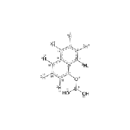 [2H]c1c([2H])c([2H])c2c(OB(O)O)c([2H])c([2H])c([2H])c2c1[2H]